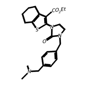 CCOC(=O)c1c(N2CCN(Cc3ccc(CN(C)C)cc3)C2=O)sc2c1CCCC2